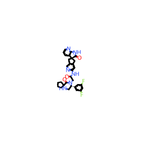 O=C(CN1C(=O)C2(CCCC2)NC[C@H]1c1cc(F)cc(F)c1)Nc1cc2c(cn1)CC1(C2)C(=O)Nc2ncccc21